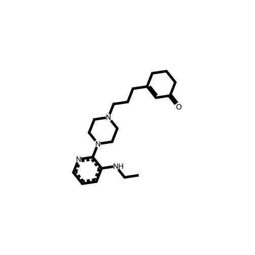 CCNc1cccnc1N1CCN(CCCC2=CC(=O)CCC2)CC1